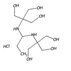 CCC(NC(CO)(CO)CO)NC(CO)(CO)CO.Cl